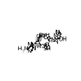 Nc1ncnc2c1ncn2[C@H]1C[C@@H]2O[P@](=O)(S)OC[C@H]3C[C@@H](n4cnc5c(O)n6ccnc6nc54)[C@@H]3CO[P@@](=O)(S)OC[C@H]2O1